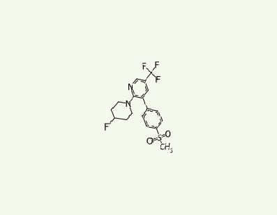 CS(=O)(=O)c1ccc(-c2cc(C(F)(F)F)cnc2N2CCC(F)CC2)cc1